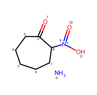 N.O=C1CCCCCC1[N+](=O)O